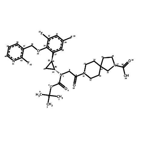 CC(C)(C)OC(=O)N(CC(=O)N1CCC2(CCN(C(=O)O)C2)CC1)[C@@H]1C[C@H]1c1cc(F)cc(F)c1OCc1cccnc1F